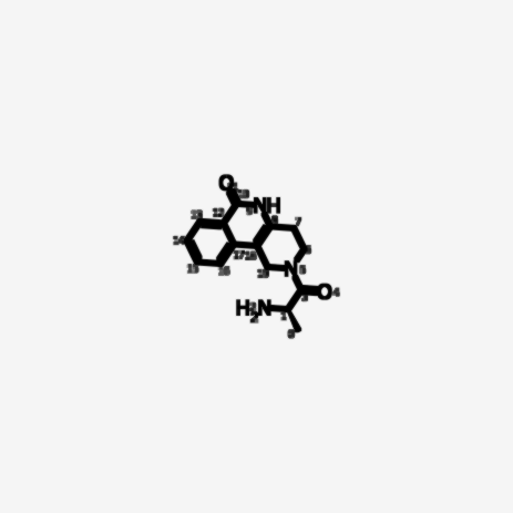 C[C@@H](N)C(=O)N1CCc2[nH]c(=O)c3ccccc3c2C1